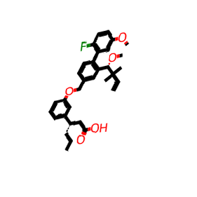 C=CC(C)(C)[C@@H](OC)c1cc(COc2cccc([C@@H](CCC)CC(=O)O)c2)ccc1-c1cc(OC)ccc1F